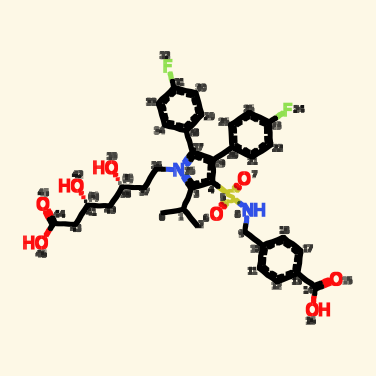 CC(C)c1c(S(=O)(=O)NCc2ccc(C(=O)O)cc2)c(-c2ccc(F)cc2)c(-c2ccc(F)cc2)n1CC[C@@H](O)C[C@@H](O)CC(=O)O